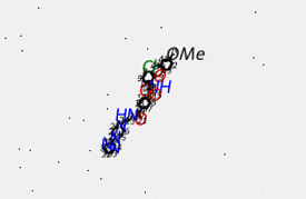 COc1ccc(Oc2ccccc2NS(=O)(=O)c2ccc(C(=O)NCCN3CCN(c4ncccn4)CC3)cc2)c(Cl)c1